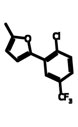 Cc1ccc(-c2cc(C(F)(F)F)ccc2Cl)o1